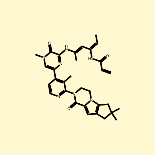 C=CC(=O)NC(/C=C(\C)Nc1nc(-c2ccnc(N3CCn4c(cc5c4CC(C)(C)C5)C3=O)c2C)cn(C)c1=O)=C/C